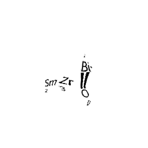 [O]=[Bi].[Sm].[Zr]